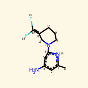 Cc1cc(N)cc(N2CCCC(=C(F)F)C2)n1